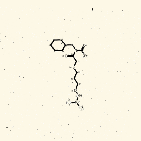 CCC(=O)N(CC1CCCCC1)C(=O)CSCCCONN(C)P